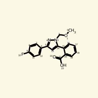 COCn1nc(-c2ccc(F)cc2)cc1-c1ccccc1C(=O)O